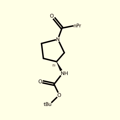 CCCC(=O)N1CC[C@H](NC(=O)OC(C)(C)C)C1